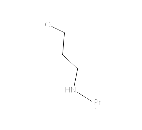 CC(C)NCCC[O]